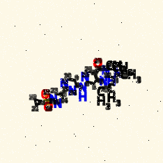 CC(C)Nc1cc(Nc2ccnc(-c3cnn(S(=O)(=O)C4CC4)c3)n2)ncc1C(=O)N(C)CCN(C)C